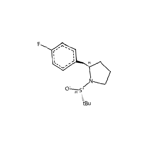 CC(C)(C)[S@+]([O-])N1CCC[C@@H]1c1ccc(F)cc1